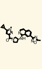 Cc1nc(-c2ccc3ccnc(N[C@H]4CCN(C(=O)c5cc(C6CC6)n(C)n5)C4)c3c2)no1